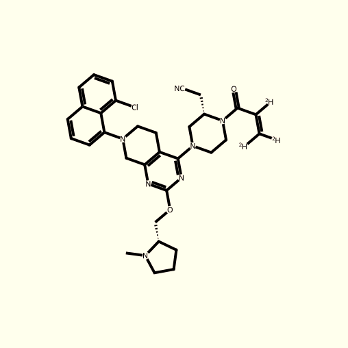 [2H]C([2H])=C([2H])C(=O)N1CCN(c2nc(OC[C@@H]3CCCN3C)nc3c2CCN(c2cccc4cccc(Cl)c24)C3)C[C@@H]1CC#N